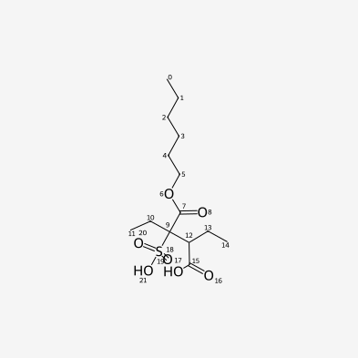 CCCCCCOC(=O)C(CC)(C(CC)C(=O)O)S(=O)(=O)O